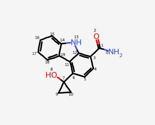 NC(=O)c1ccc(C2(O)CC2)c2c1[nH]c1ccccc12